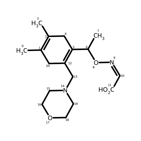 CC1=C(C)CC(C(C)O/N=C\C(=O)O)=C(CN2CCOCC2)C1